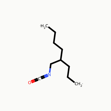 [CH2]CCCC(CC[CH2])CN=C=O